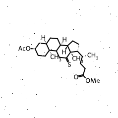 COC(=O)CC[C@@H](C)[C@H]1CC[C@H]2[C@@H]3CC[C@@H]4C[C@H](OC(C)=O)CC[C@]4(C)C3CC(=S)[C@]12C